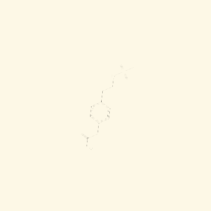 COC(=O)Cc1ccc(CCNS(C)(=O)=O)cc1